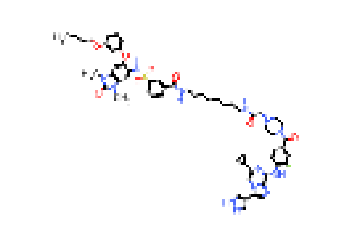 CCCCOc1cccc(Oc2cc3c(cc2NS(=O)(=O)c2cccc(C(=O)NCCCCCCCCNC(=O)CN4CCN(C(=O)c5ccc(Nc6nc(C7CC7)cn7c(-c8cn[nH]c8)cnc67)c(F)c5)CC4)c2)n(C)c(=O)n3C)c1